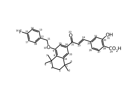 CC1(C)CCC(C)(C)c2c(OCc3ccc(F)cc3)cc(C(=O)/C=C/c3ccc(C(=O)O)c(O)c3)cc21